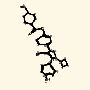 CCCCC1CCC(C(=O)Oc2ccc(-c3nn(C4CCC4)c(-c4ccc(O)cc4)c3CC)cc2)CC1